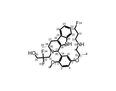 COc1ccc(O[C@@H](C)CNCCCF)cc1[C@@H]1c2[nH]c3ccccc3c2C[C@@H](C)N1CC(F)(F)CO